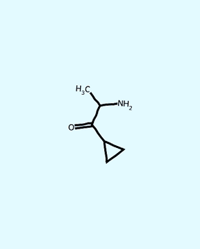 CC(N)C(=O)C1CC1